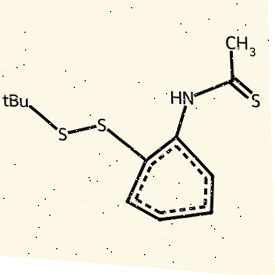 CC(=S)Nc1ccccc1SSC(C)(C)C